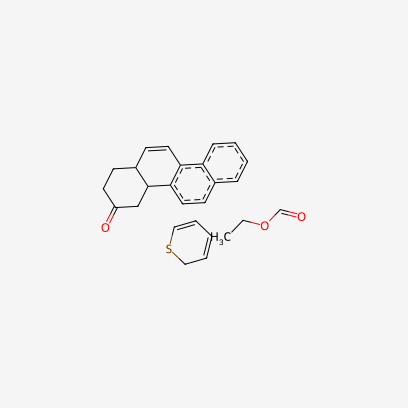 C1=CCSC=C1.CCOC=O.O=C1CCC2C=Cc3c(ccc4ccccc34)C2C1